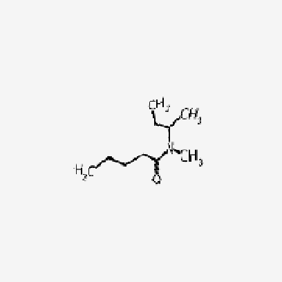 [CH2]CCCC(=O)N(C)C(C)CC